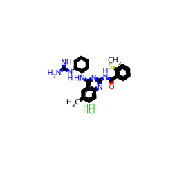 CSc1ccccc1C(=O)Nc1nc(N[C@H]2CCCC[C@H]2NC(=N)N)c2cc(C)ccc2n1.Cl.Cl